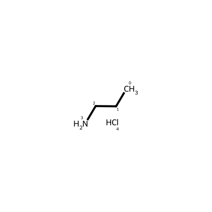 CCCN.Cl